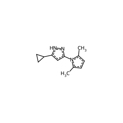 Cc1ccc(C)n1-c1cc(C2CC2)[nH]n1